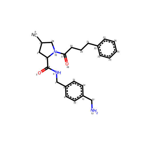 N#CC1CC(C(=O)NCc2ccc(CN)cc2)N(C(=O)CCCc2ccccc2)C1